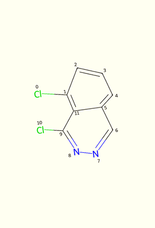 Clc1cccc2cnnc(Cl)c12